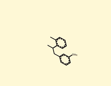 CSc1cccc(CC(C)c2ccccc2C)c1